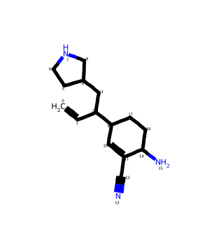 C=CC(CC1CCNC1)C1C=C(C#N)C(N)CC1